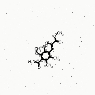 COC(=O)C(Cl)=Cc1c(C)c(C)c(C(N)=O)c(OC)c1S